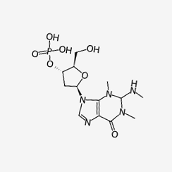 CNC1N(C)C(=O)c2ncn([C@H]3C[C@H](OP(=O)(O)O)[C@@H](CO)O3)c2N1C